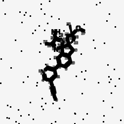 CC#Cc1cncc(-c2ccc3c(c2)C2(N=C(C)C(N)=N2)[C@]2(CC[C@@](C)(OC)CC2)C3)c1